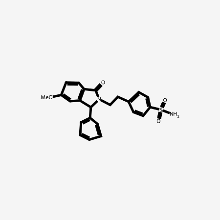 COc1ccc2c(c1)C(c1ccccc1)N(CCc1ccc(S(N)(=O)=O)cc1)C2=O